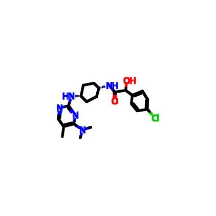 Cc1cnc(N[C@H]2CC[C@@H](NC(=O)C(O)c3ccc(Cl)cc3)CC2)nc1N(C)C